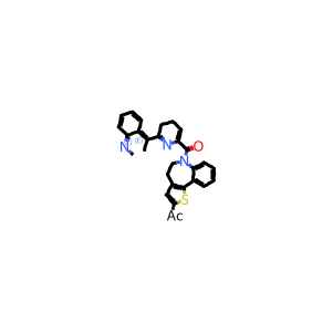 C/N=C1/C=CC=C/C1=C(/C)C1=NC(C(=O)N2CCc3cc(C(C)=O)sc3-c3ccccc32)=CCC1